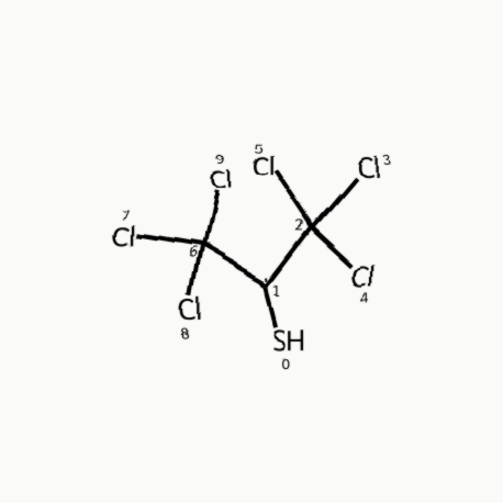 S[C](C(Cl)(Cl)Cl)C(Cl)(Cl)Cl